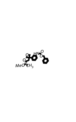 CON(C)C(=O)CC1(c2cccc(NC(=O)OCc3ccccc3)c2)COC1